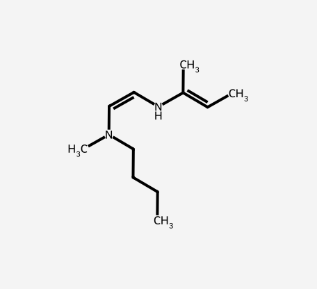 C/C=C(\C)N/C=C\N(C)CCCC